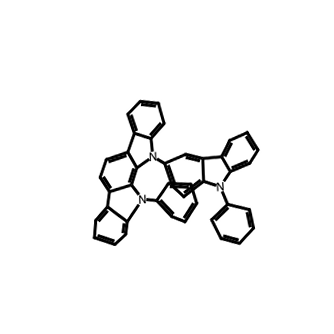 c1ccc(-n2c3ccccc3c3cc(-n4c5ccccc5c5ccc6c7ccccc7n(-c7ccccc7)c6c54)ccc32)cc1